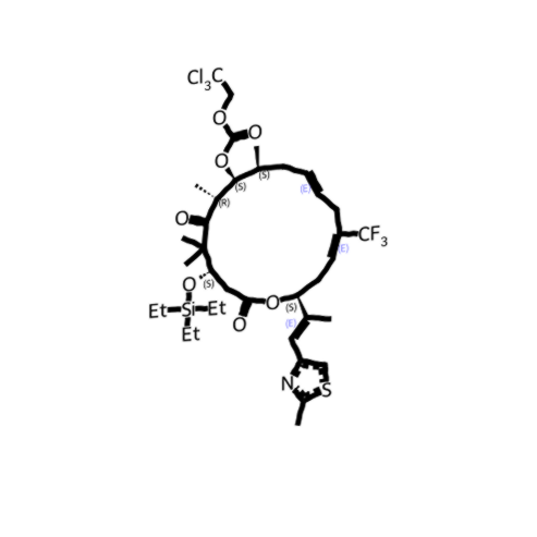 CC[Si](CC)(CC)O[C@H]1CC(=O)O[C@H](/C(C)=C/c2csc(C)n2)C/C=C(/C(F)(F)F)C/C=C/C[C@H](C)[C@H](OC(=O)OCC(Cl)(Cl)Cl)[C@@H](C)C(=O)C1(C)C